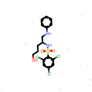 O=S(=O)(NC(CCCO)CNc1ccccc1)c1c(Cl)cc(Cl)cc1Cl